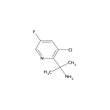 CC(C)(N)c1ncc(F)cc1Cl